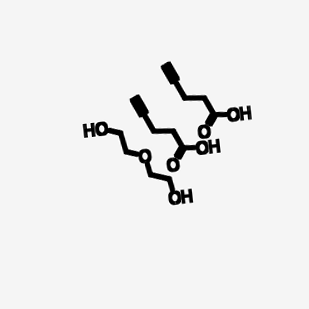 C#CCCC(=O)O.C#CCCC(=O)O.OCCOCCO